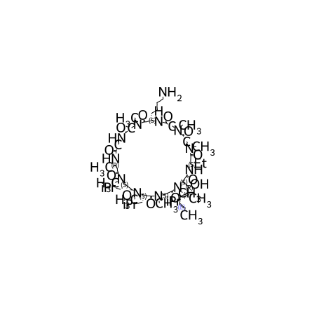 C/C=C/C[C@@H](C)[C@@H](O)[C@H]1C(=O)N[C@@H](CC)C(=O)N(C)CC(=O)N(C)CC(=O)N[C@@H](CCCCN)C(=O)N(C)CC(=O)NCC(=O)N[C@H](C)C(=O)N(C)[C@@H](CC(C)C)C(=O)N(C)[C@@H](CC(C)C)C(=O)N(C)[C@@H](C(C)C)C(=O)N1C